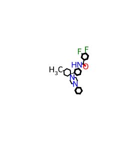 C[C@H]1CC[C@](c2cccc(NC(=O)c3ccc(F)c(F)c3)c2)(N2CCN(c3ccccc3)CC2)CC1